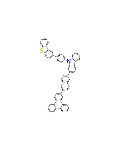 c1ccc2c(c1)sc1ccc(-c3ccc(-n4c5ccccc5c5ccc(-c6ccc7cc(-c8ccc9c%10ccccc%10c%10ccccc%10c9c8)ccc7c6)cc54)cc3)cc12